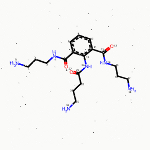 NCCCNC(=O)c1cccc(C(=O)NCCCN)c1NC(=O)CCCN